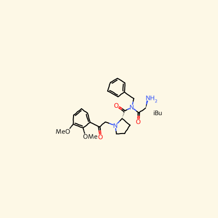 CC[C@H](C)[C@H](N)C(=O)N(Cc1ccccc1)C(=O)[C@@H]1CCCN1CC(=O)c1cccc(OC)c1OC